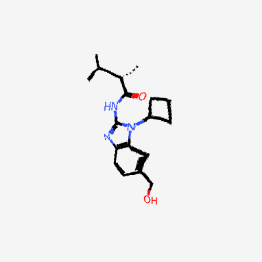 CC(C)[C@H](C)C(=O)Nc1nc2ccc(CO)cc2n1C1CCC1